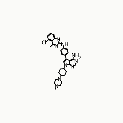 Cc1nc(Nc2ccc(-c3cn([C@H]4CC[C@@H](N5CCN(C)CC5)CC4)c4ncnc(N)c34)cc2)nc2cccc(Cl)c12